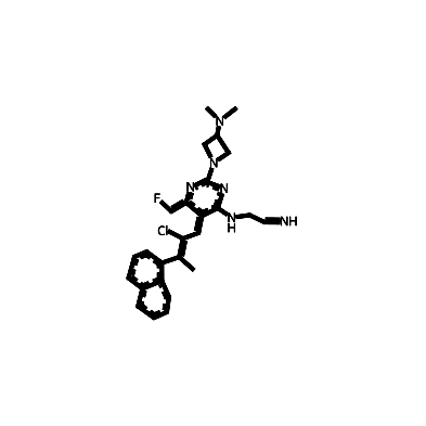 C\C(=C(Cl)/C=c1/c(NCC=N)nc(N2CC(N(C)C)C2)n/c1=C\F)c1cccc2ccccc12